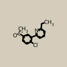 CCc1cccc(-c2cc([S+](C)[O-])ccc2Cl)n1